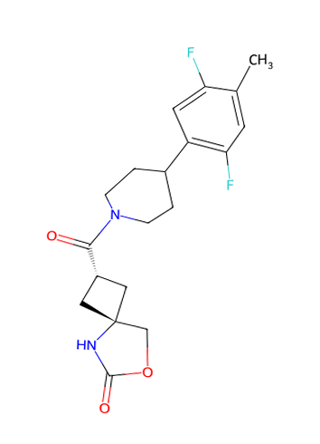 Cc1cc(F)c(C2CCN(C(=O)[C@H]3C[C@]4(COC(=O)N4)C3)CC2)cc1F